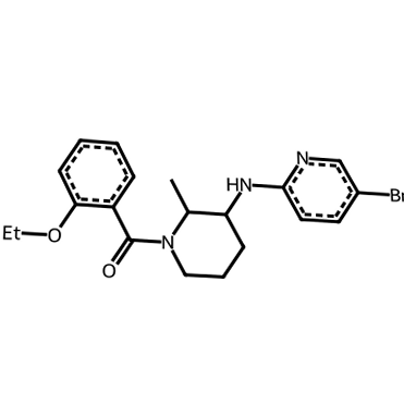 CCOc1ccccc1C(=O)N1CCCC(Nc2ccc(Br)cn2)C1C